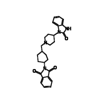 O=C1c2ccccc2C(=O)N1C1CCC(CN2CCC(n3c(=O)[nH]c4ccccc43)CC2)CC1